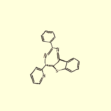 c1ccc(-c2nc(-c3ccccn3)c3sc4ccccc4c3n2)cc1